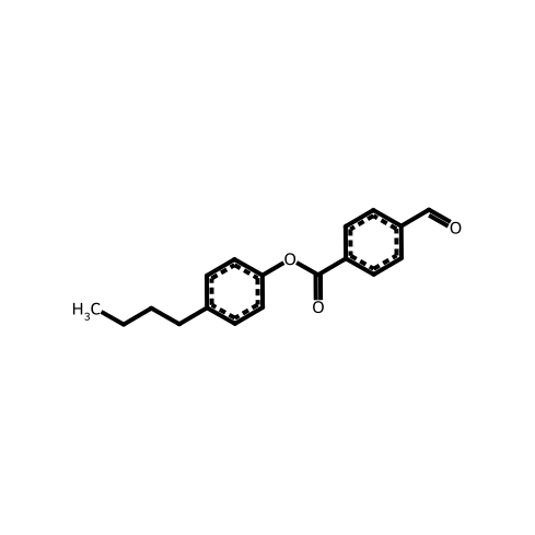 CCCCc1ccc(OC(=O)c2ccc(C=O)cc2)cc1